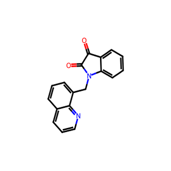 O=C1C(=O)N(Cc2cccc3cccnc23)c2ccccc21